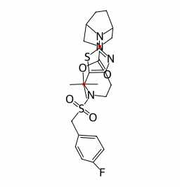 CC(C)(C)OC(=O)N1CC2CCC(C1)N2c1nc2c(s1)CN(S(=O)(=O)Cc1ccc(F)cc1)CC2